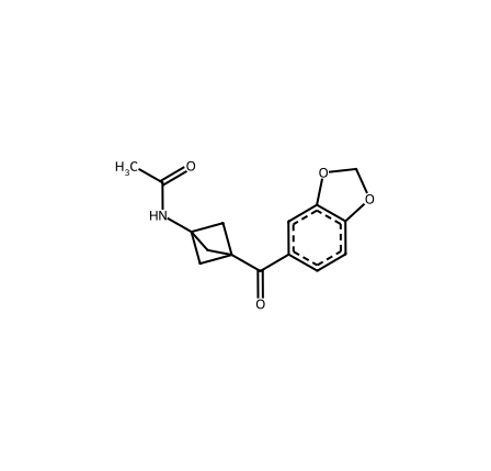 CC(=O)NC12CC(C(=O)c3ccc4c(c3)OCO4)(C1)C2